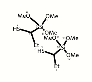 CCC(S)[Si](OC)(OC)OC.CCC(S)[Si](OC)(OC)OC